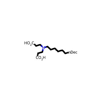 CCCCCCCCCCCCCCCCN(CCC(=O)O)CCC(=O)O